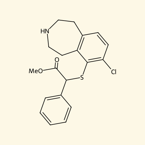 COC(=O)C(Sc1c(Cl)ccc2c1CCNCC2)c1ccccc1